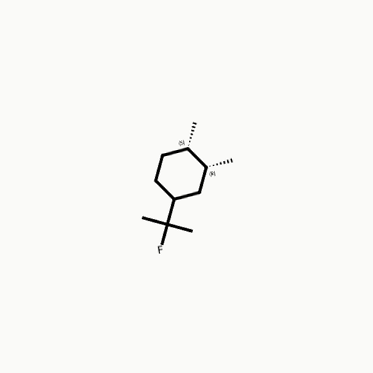 C[C@@H]1CC(C(C)(C)F)CC[C@@H]1C